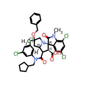 CN1C(=O)[C@]2(c3cc(Cl)cc(Cl)c31)[C@@H](C(=O)O)C(C(=O)N(CC1CCCC1)c1cc(Cl)cc(Cl)c1)[C@H]1C[C@](C)(OCc3ccccc3)CN12